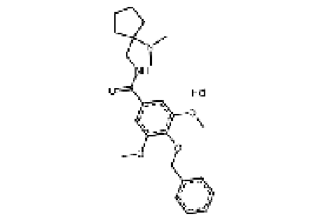 COc1cc(C(=O)NCC2(N(C)C)CCCC2)cc(OC)c1OCc1ccccc1.Cl